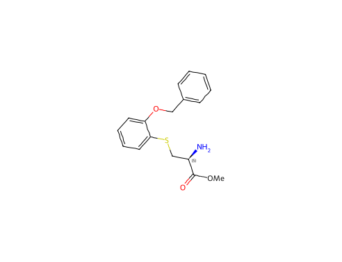 COC(=O)[C@H](N)CSc1ccccc1OCc1ccccc1